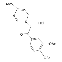 CSC1=CCN(CC(=O)c2ccc(OC(C)=O)c(OC(C)=O)c2)C=N1.Cl